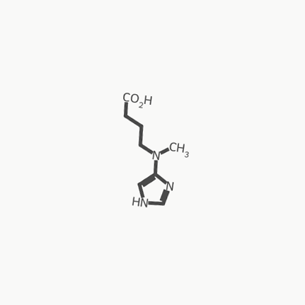 CN(CCCC(=O)O)c1c[nH]cn1